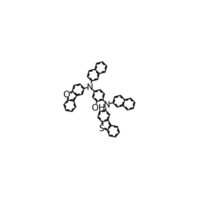 Oc1cc(N(c2ccc3ccccc3c2)c2ccc3oc4ccccc4c3c2)ccc1N(c1ccc2ccccc2c1)c1ccc2sc3ccccc3c2c1